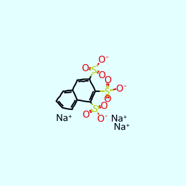 O=S(=O)([O-])c1cc2ccccc2c(S(=O)(=O)[O-])c1S(=O)(=O)[O-].[Na+].[Na+].[Na+]